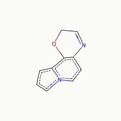 C1=Nc2ccn3cccc3c2OC1